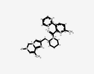 CC1=CN(F)C[N+]2C=C(C[C@@H]3CCCCN3C(=O)c3nc(C)ccc3-c3ncccn3)N=C12